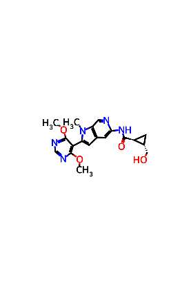 COc1ncnc(OC)c1-c1cc2cc(NC(=O)[C@H]3C[C@@H]3CO)ncc2n1C